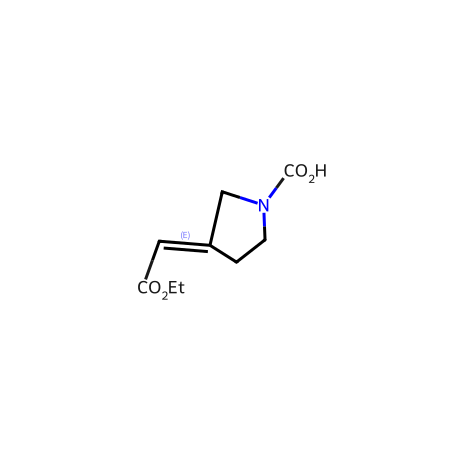 CCOC(=O)/C=C1\CCN(C(=O)O)C1